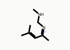 CNC/N=C(/C)C=C(C)C